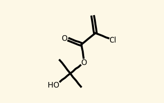 C=C(Cl)C(=O)OC(C)(C)O